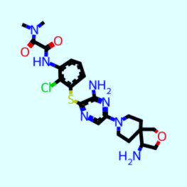 CN(C)C(=O)C(=O)Nc1cccc(Sc2ncc(N3CCC4(CC3)COCC4N)nc2N)c1Cl